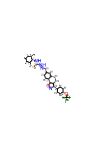 Cc1cccc(C)c1NC(=S)N/N=C/c1ccc2c(c1)CCc1c(-c3ccc(OC(F)(F)F)cc3)noc1-2